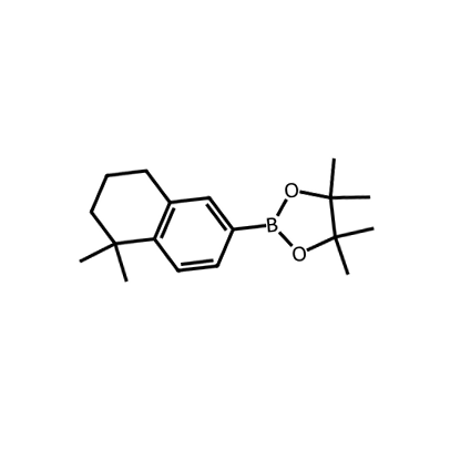 CC1(C)CCCc2cc(B3OC(C)(C)C(C)(C)O3)ccc21